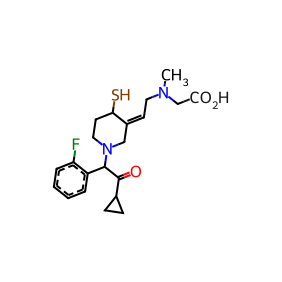 CN(C/C=C1/CN(C(C(=O)C2CC2)c2ccccc2F)CCC1S)CC(=O)O